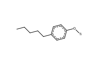 CCCCCc1ccc([O][Ti])cc1